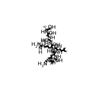 CC(C)CC[C@@H](NC(O)[C@H](CCCNCN)NC(O)OC(C)(C)C)C(O)N[C@@H](CCCNC(=N)N)C(O)NCC(O)NCC(O)N[C@H](C)CO